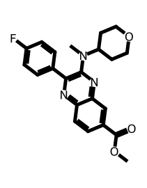 COC(=O)c1ccc2nc(-c3ccc(F)cc3)c(N(C)C3CCOCC3)nc2c1